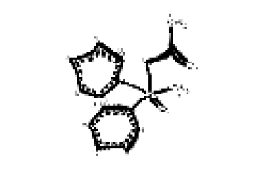 CS(=O)(CC(N)=O)(c1ccccc1)c1ccccc1